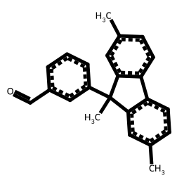 Cc1ccc2c(c1)C(C)(c1cccc(C=O)c1)c1cc(C)ccc1-2